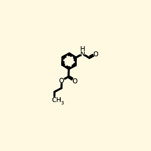 CCCOC(=O)c1cccc(NC=O)c1